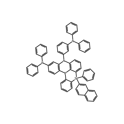 c1ccc(N(c2ccccc2)c2cccc(N3c4cc(N(c5ccccc5)c5ccccc5)ccc4B4c5ccccc5[Si](c5ccccc5)(c5ccc6ccccc6c5)c5cccc3c54)c2)cc1